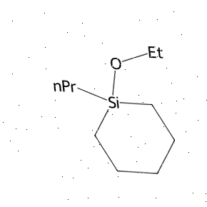 CCC[Si]1(OCC)CCCCC1